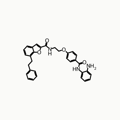 Nc1ccccc1NC(=O)c1ccc(OCCNC(=O)c2cc3cccc(CCc4ccccc4)c3o2)cc1